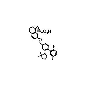 Cc1ccc(F)c(-c2ccc(COc3ccc4c(c3)[C@]3(CCC4)C[C@H]3C(=O)O)cc2[C@@H]2CCCC2(C)C)c1